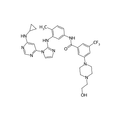 Cc1ccc(NC(=O)c2cc(N3CCN(CCO)CC3)cc(C(F)(F)F)c2)cc1Nc1nccn1-c1cc(NC2CC2)ncn1